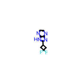 FC1(F)CC(c2nc3nccnc3[nH]2)C1